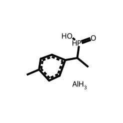 Cc1ccc(C(C)[PH](=O)O)cc1.[AlH3]